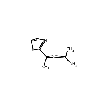 CC(N)=C=C(C)c1nccs1